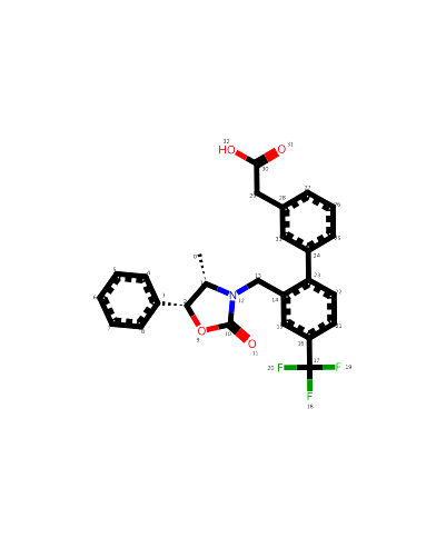 C[C@H]1[C@@H](c2ccccc2)OC(=O)N1Cc1cc(C(F)(F)F)ccc1-c1cccc(CC(=O)O)c1